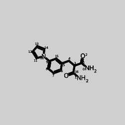 NC(=O)C(Cc1cccc(-n2cccc2)c1)C(N)=O